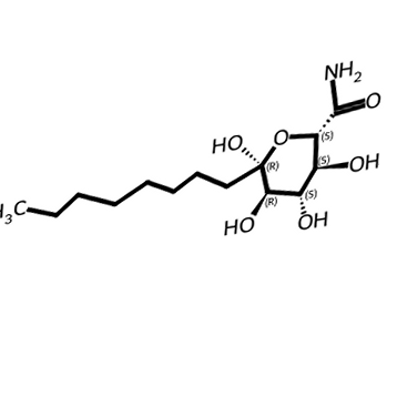 CCCCCCCC[C@@]1(O)O[C@H](C(N)=O)[C@@H](O)[C@H](O)[C@H]1O